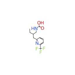 CCC(CNC(=O)O)Cc1cccc(C(F)(F)F)n1